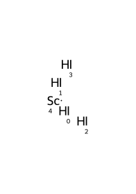 I.I.I.I.[Sc]